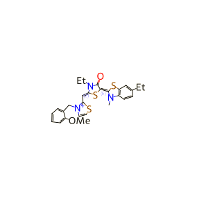 CCc1ccc2c(c1)S/C(=c1/s/c(=C\c3scc[n+]3Cc3ccccc3OC)n(CC)c1=O)N2C